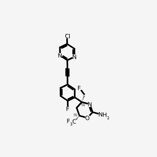 NC1=N[C@](CF)(c2cc(C#Cc3ncc(Cl)cn3)ccc2F)C[C@@H](C(F)(F)F)O1